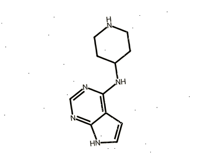 c1nc(NC2CCNCC2)c2cc[nH]c2n1